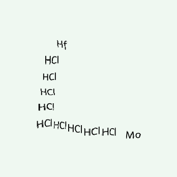 Cl.Cl.Cl.Cl.Cl.Cl.Cl.Cl.Cl.[Hf].[Mo]